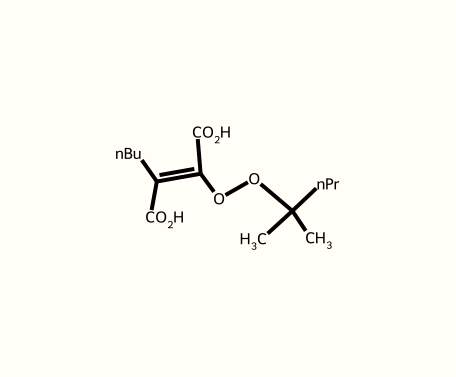 CCCC/C(C(=O)O)=C(/OOC(C)(C)CCC)C(=O)O